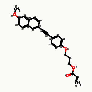 C=CC(=O)OCCCOc1ccc(C#Cc2ccc3cc(OC)ccc3c2)cc1